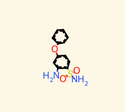 Nc1cc(Oc2ccccc2)ccc1S(N)(=O)=O